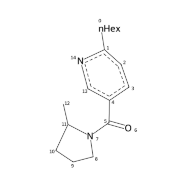 CCCCCCc1ccc(C(=O)N2CCCC2C)cn1